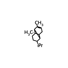 CC1=CCC2C3C(C(C)C)CC[C@@]2(C)C13